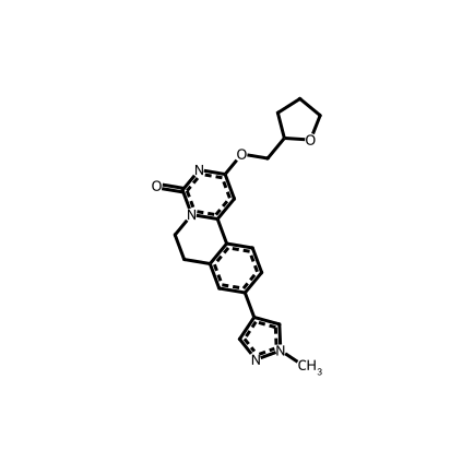 Cn1cc(-c2ccc3c(c2)CCn2c-3cc(OCC3CCCO3)nc2=O)cn1